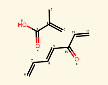 C=C(C)C(=O)O.C=CC=CC(=O)C=C